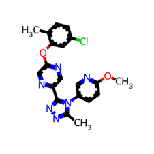 COc1ccc(-n2c(C)nnc2-c2cnc(Oc3cc(Cl)ccc3C)cn2)cn1